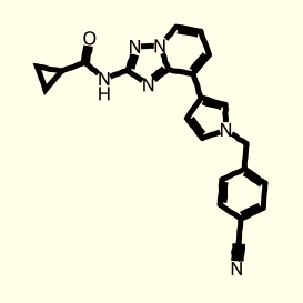 N#Cc1ccc(Cn2ccc(-c3cccn4nc(NC(=O)C5CC5)nc34)c2)cc1